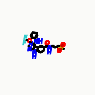 CS(=O)(=O)CCCNC(=O)C1CCc2[nH]c3ncnc(Nc4ccccc4OC(F)F)c3c2C1